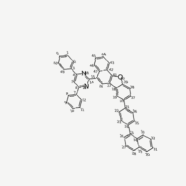 c1ccc(-c2cc(-c3ccccc3)nc(-c3cc4c5cc(-c6ccc(-c7cccc8ccccc78)cc6)ccc5oc4c4ccccc34)n2)cc1